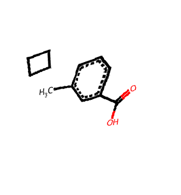 C1CCC1.Cc1cccc(C(=O)O)c1